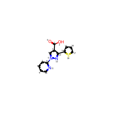 O=C(O)c1cn(-c2ccccn2)nc1-c1cccs1